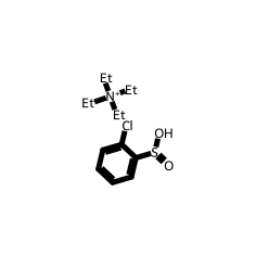 CC[N+](CC)(CC)CC.O=S(O)c1ccccc1Cl